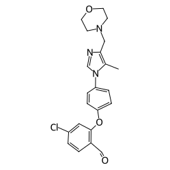 Cc1c(CN2CCOCC2)ncn1-c1ccc(Oc2cc(Cl)ccc2C=O)cc1